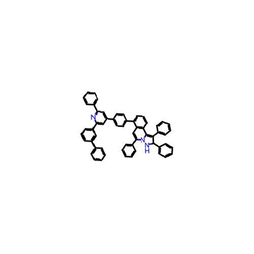 C1=C(c2ccccc2)N2NC(c3ccccc3)C(c3ccccc3)=C2c2cccc(-c3ccc(-c4cc(-c5ccccc5)nc(-c5cccc(-c6ccccc6)c5)c4)cc3)c21